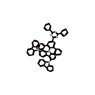 c1ccc(-c2nc(-c3ccccc3)nc(-c3cc(-c4ccccc4)c(-n4c5cc(-n6c7ccccc7c7ccccc76)ccc5c5c(-n6c7ccccc7c7ccccc76)cccc54)c(-c4ccccc4)c3)n2)cc1